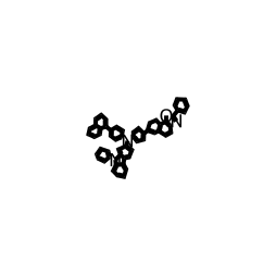 C1=C(c2ccc(N(c3ccc(-c4cccc5ccccc45)cc3)c3ccc4c5ccccc5n(-c5ccccc5)c4c3)cc2)CCc2c1ccc1nc(-c3ccccc3)oc21